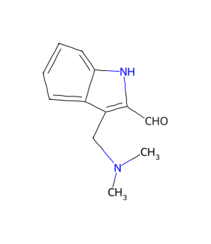 CN(C)Cc1c(C=O)[nH]c2ccccc12